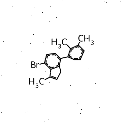 CC1=CCc2c(-c3cccc(C)c3C)ccc(Br)c21